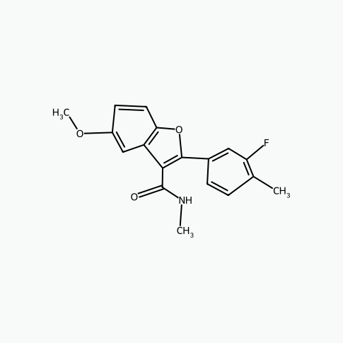 CNC(=O)c1c(-c2ccc(C)c(F)c2)oc2ccc(OC)cc12